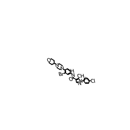 Cc1c(C(=O)Nc2ccc(N3CCN(C4CCOCC4)CC3)c(Br)c2)cnn1-c1ccc(Cl)cc1